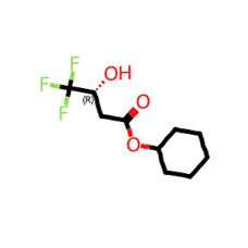 O=C(C[C@@H](O)C(F)(F)F)OC1CCCCC1